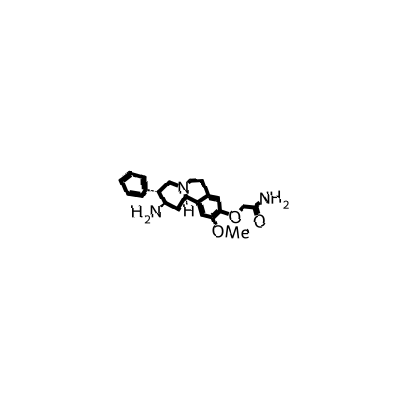 COc1cc2c(cc1OCC(N)=O)CCN1C[C@@H](c3ccccc3)[C@H](N)C[C@H]21